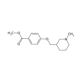 COC(=O)c1ccc(OCC2CCCN(C)C2)cc1